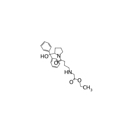 CCOC(=O)CNCCCC(=O)N1CCCC1C(O)(c1ccccc1)c1ccccc1